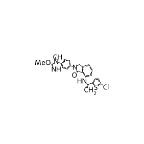 C=C(Nc1cccc2c1C(=O)N(c1ccc(N(C)C(=N)OC)cc1)C2)c1ccc(Cl)s1